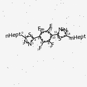 CCCCCCCc1nnc(-c2c(F)c(F)c(-c3nnc(CCCCCCC)s3)c(F)c2F)s1